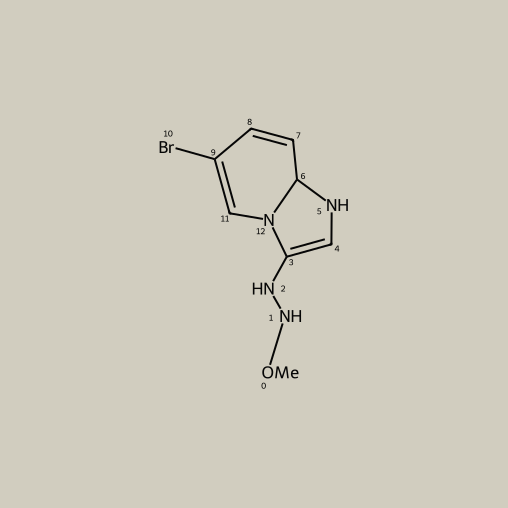 CONNC1=CNC2C=CC(Br)=CN12